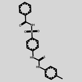 Cc1ccc(NC(=S)Nc2ccc(S(=O)(=O)NC(=O)c3ccccc3)cc2)cc1